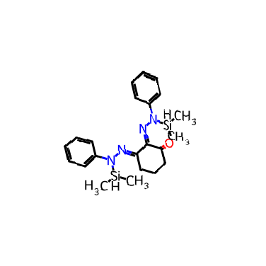 C[SiH](C)N(N=C1CCCC(=O)C1=NN(c1ccccc1)[SiH](C)C)c1ccccc1